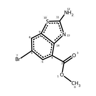 COC(=O)c1cc(Br)cc2sc(N)nc12